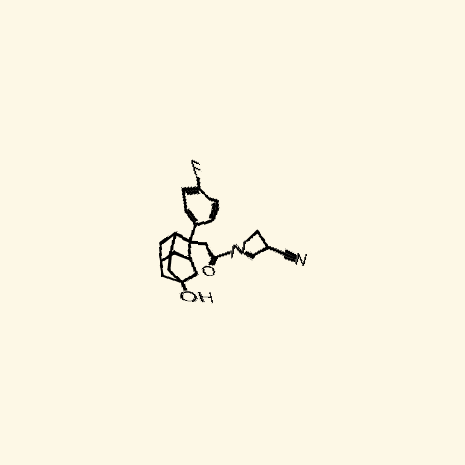 N#CC1CN(C(=O)CC2(c3ccc(F)cc3)C3CC4CC2CC(O)(C4)C3)C1